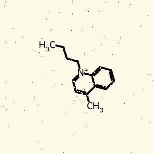 CCCC[n+]1ccc(C)c2ccccc21